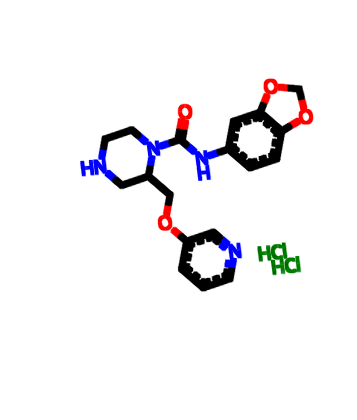 Cl.Cl.O=C(Nc1ccc2c(c1)OCO2)N1CCNCC1COc1cccnc1